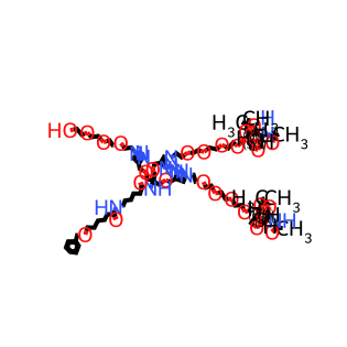 CC(=O)N[C@H]1[C@H]2OC[C@](COCCOCCOCCOCCn3cc(COCC(COCc4cn(CCOCCOCCOCCO)nn4)(COCc4cn(CCOCCOCCOCCOC[C@@]56CO[C@@H](O5)[C@H](NC(C)=O)[C@H]5OC(C)(C)O[C@H]56)nn4)NC(=O)CCCCCNC(=O)CCCCCOCc4ccccc4)nn3)(O2)[C@@H]2OC(C)(C)O[C@H]12